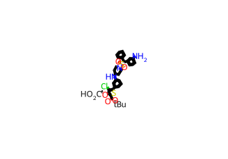 CC(C)(C)OC(=O)c1sc(-c2cccc(NC3CCN(S(=O)(=O)C(c4ccccc4)c4cccc(N)c4)CC3)c2)c(Cl)c1OCC(=O)O